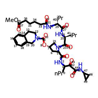 CCCC(NC(=O)C1C[C@H](OC(=O)N2CCc3ccccc3C2)CN1C(=O)[C@@H](NC(=O)[C@H](NC(=O)CCCCC(=O)OC)C(C)C)C(C)C)C(=O)C(=O)NC1CC1